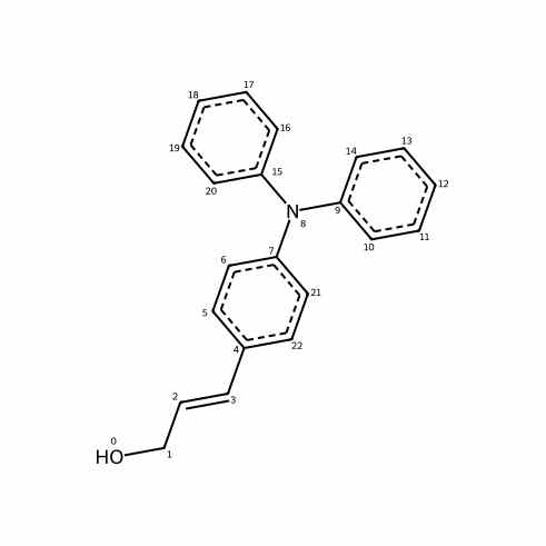 OC/C=C/c1ccc(N(c2ccccc2)c2ccccc2)cc1